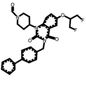 O=CN1CCC(n2c(=O)n(Cc3ccc(-c4ccccc4)cc3)c(=O)c3cc(OC(CF)CF)ccc32)CC1